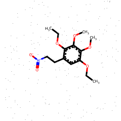 CCOc1cc(CC[N+](=O)[O-])c(OCC)c(OC)c1OC